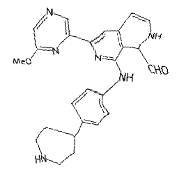 COc1cncc(-c2cc3c(c(Nc4ccc(C5CCNCC5)cc4)n2)C(C=O)NC=C3)n1